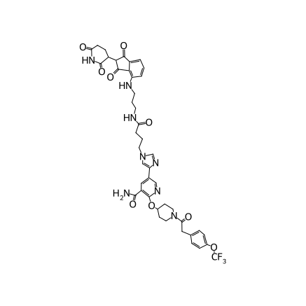 NC(=O)c1cc(-c2cn(CCCC(=O)NCCCNc3cccc4c3C(=O)C(C3CCC(=O)NC3=O)C4=O)cn2)cnc1OC1CCN(C(=O)Cc2ccc(OC(F)(F)F)cc2)CC1